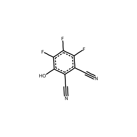 N#Cc1c(O)c(F)c(F)c(F)c1C#N